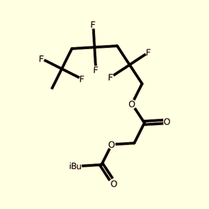 CCC(C)C(=O)OCC(=O)OCC(F)(F)CC(F)(F)CC(C)(F)F